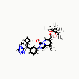 Cn1cnnc1[C@@H](c1cccc(-n2cc3c(C(F)(F)F)cc(B4OC(C)(C)C(C)(C)O4)cn3c2=O)c1)C1CCC1